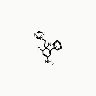 NC1=CC(F)C(N)(CCn2cncn2)C(c2ccccc2)=C1